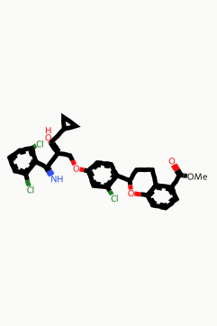 COC(=O)c1cccc2c1CCC(c1ccc(OC/C(C(=N)c3c(Cl)cccc3Cl)=C(/O)C3CC3)cc1Cl)O2